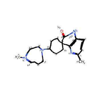 Cc1ccc2c(n1)C1(CCC(N3CCCN(C)CC3)CC1)C(=O)N2